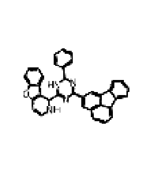 C1=Cc2oc3ccccc3c2C(C2=NC(c3cc4c5c(cccc5c3)-c3ccccc3-4)=NC(c3ccccc3)N2)N1